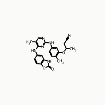 Cc1ccc(Nc2ncc(C)c(Nc3ccc4oc(=O)[nH]c4c3)n2)cc1OC(C)CC#N